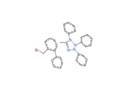 BrCc1ccccc1-c1ccccc1.CC1=NN(c2ccccc2)N(c2ccccc2)N1c1ccccc1